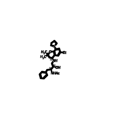 CCc1cc2c(c(N3CCCC3)c1)OC(C)(C)C[C@@H]2NC[C@@H](O)[C@H](Cc1ccccc1)NC(C)=O